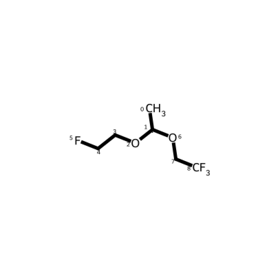 C[C](OCCF)OCC(F)(F)F